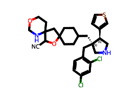 N#CC1OC2(CCC(C[C@@]3(Cc4ccc(Cl)cc4Cl)CNC[C@@H]3c3ccsc3)CC2)CC12CCOCN2